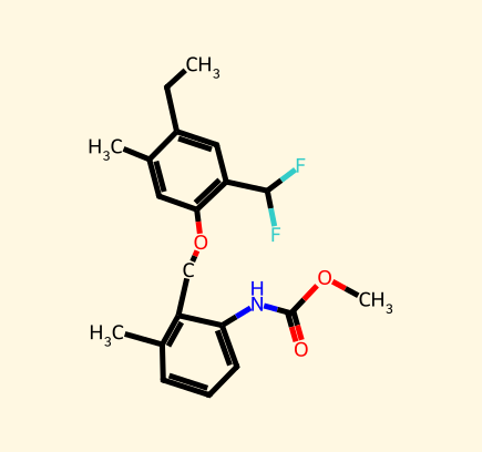 CCc1cc(C(F)F)c(OCc2c(C)cccc2NC(=O)OC)cc1C